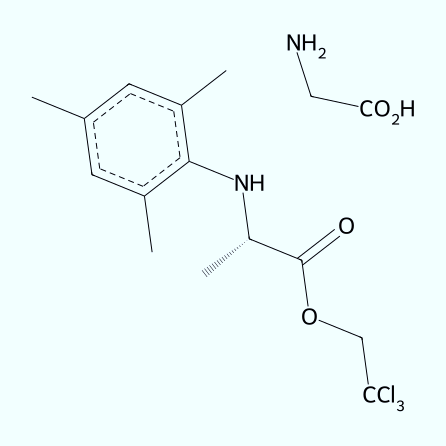 Cc1cc(C)c(N[C@@H](C)C(=O)OCC(Cl)(Cl)Cl)c(C)c1.NCC(=O)O